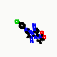 CC(C)[C@H]1COC(=O)N1c1nc(N[C@@H](C)c2cn(-c3ccc(Cl)cc3)cn2)nc2[nH]ccc12